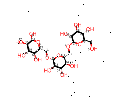 OC[C@H]1O[C@@H](OC[C@H]2O[C@@H](OC[C@H]3OC(O)[C@H](O)[C@@H](O)[C@@H]3O)[C@H](O)[C@@H](O)[C@@H]2O)[C@H](O)[C@@H](O)[C@@H]1O